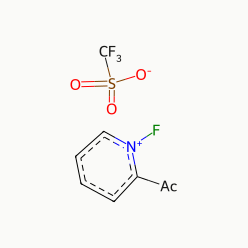 CC(=O)c1cccc[n+]1F.O=S(=O)([O-])C(F)(F)F